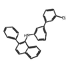 Clc1cccc(-c2cccc(Nc3c(-c4ccccc4)ccc4ccccc34)c2)c1